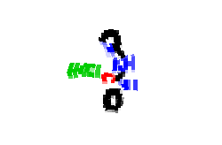 Cl.Cl.O=C(CNCc1ccccn1)Nc1ccccc1